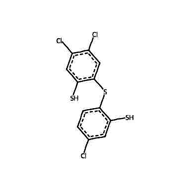 Sc1cc(Cl)ccc1Sc1cc(Cl)c(Cl)cc1S